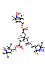 COC(CCC(=O)OCC1CC(C)(C)N(O)C1(C)C)(CCC(=O)OCC1CC(C)(C)N(O)C1(C)C)CC(=O)OCC1CC(C)(C)NC1(C)C